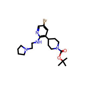 CC(C)(C)OC(=O)N1CCC(c2cc(Br)cnc2NCCN2CCCC2)CC1